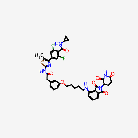 Cc1sc(NC(=O)Cc2cccc(OCCCCCNc3cccc4c3C(=O)N(C3CCC(=O)NC3=O)C4=O)c2)nc1-c1cc(F)c(C(=O)NC2CC2)c(Cl)c1